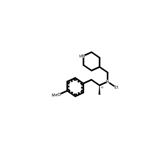 CCN(CC1CCNCC1)[C@@H](C)Cc1ccc(OC)cc1